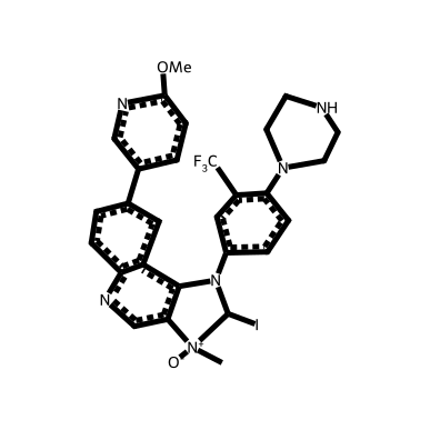 COc1ccc(-c2ccc3ncc4c(c3c2)N(c2ccc(N3CCNCC3)c(C(F)(F)F)c2)C(I)[N+]4(C)[O-])cn1